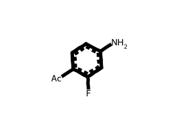 CC(=O)c1ccc(N)cc1F